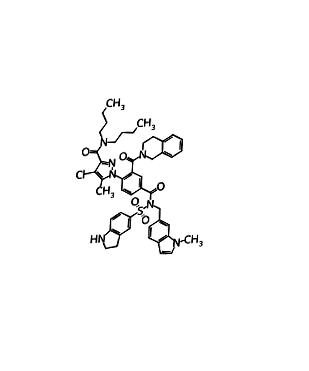 CCCCN(CCCC)C(=O)c1nn(-c2ccc(C(=O)N(Cc3ccc4ccn(C)c4c3)S(=O)(=O)c3ccc4c(c3)CCN4)cc2C(=O)N2CCc3ccccc3C2)c(C)c1Cl